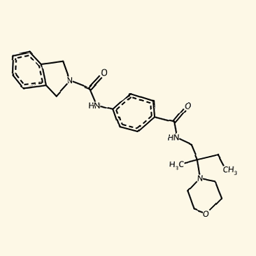 CCC(C)(CNC(=O)c1ccc(NC(=O)N2Cc3ccccc3C2)cc1)N1CCOCC1